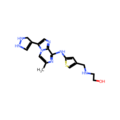 Cc1cn2c(C3=CNNC3)cnc2c(Nc2cc(CNCCO)cs2)n1